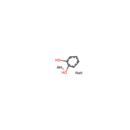 Oc1ccccc1O.[AlH3].[NaH]